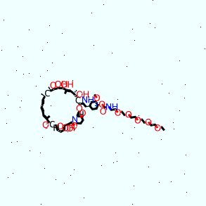 CCOCCOCCOCCOCCOCCNC(=O)O[C@@H]1CC[C@@H](C[C@@H](N)[C@@H]2C[C@@H](O)[C@H](C)/C=C(\C)[C@@H](O)[C@@H](O)C(=O)[C@H](C)C[C@H](C)/C=C/C=C/C=C(\C)[C@@H](OC)C[C@@H]3CC[C@@H](C)[C@@](O)(O3)C(=O)C(=O)N3CCCC[C@H]3C(=O)O2)C[C@H]1OC